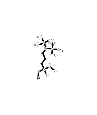 CCO[Si](CC)(CCCN([Si](C)(C)C)[Si](C)(C)C)OCC